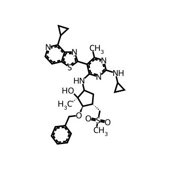 Cc1nc(NC2CC2)nc(NC2C[C@H](CS(C)(=O)=O)[C@@H](OCc3ccccc3)[C@@]2(C)O)c1-c1nc2c(C3CC3)nccc2s1